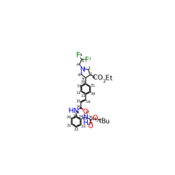 CCOC(=O)C1CN(CC(F)F)CC1c1ccc(/C=C/C(=O)Nc2ccccc2NC(=O)OC(C)(C)C)cc1